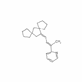 C/C(=C\C=C1/CC2(CCCC2)CC12CCCC2)c1ccccn1